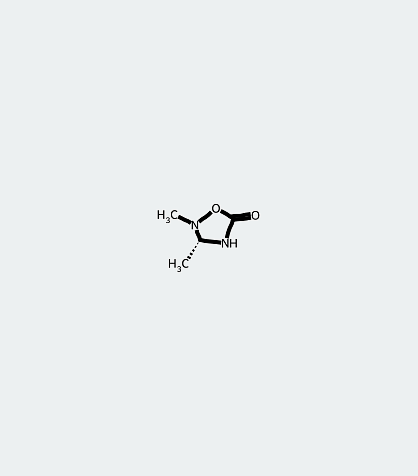 C[C@H]1NC(=O)ON1C